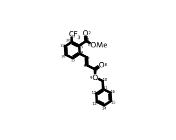 COC(=O)c1c(/C=C/C(=O)OCc2ccccc2)cccc1C(F)(F)F